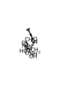 Cc1cc([C@H](O)[C@](C)(NCc2cc(C#CC3CC3)on2)C(=O)NO)no1